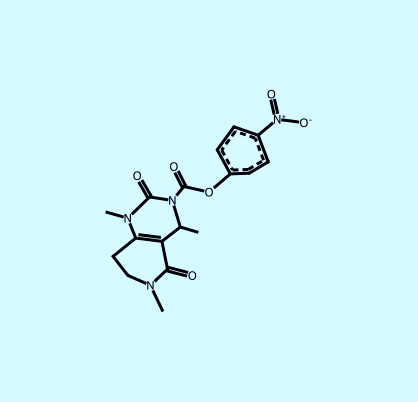 CC1C2=C(CCN(C)C2=O)N(C)C(=O)N1C(=O)Oc1ccc([N+](=O)[O-])cc1